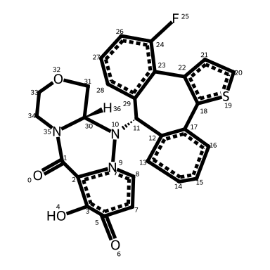 O=C1c2c(O)c(=O)ccn2N([C@H]2c3ccccc3-c3sccc3-c3c(F)cccc32)[C@H]2COCCN12